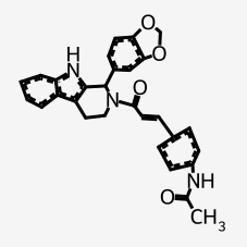 CC(=O)Nc1ccc(/C=C/C(=O)N2CCc3c([nH]c4ccccc34)C2c2ccc3c(c2)OCO3)cc1